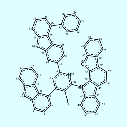 Ic1c(-c2cccc3oc4ccccc4c23)nc(-c2ccc3c(c2)sc2cccc(-c4ccccc4)c23)nc1-n1c2ccccc2c2ccc3c4ccccc4oc3c21